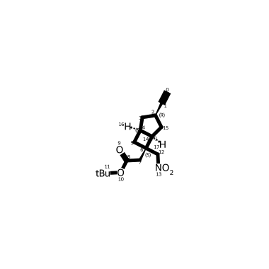 C#C[C@@H]1C[C@@H]2C[C@@](CC(=O)OC(C)(C)C)(C[N+](=O)[O-])[C@@H]2C1